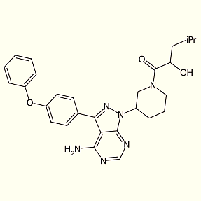 CC(C)CC(O)C(=O)N1CCCC(n2nc(-c3ccc(Oc4ccccc4)cc3)c3c(N)ncnc32)C1